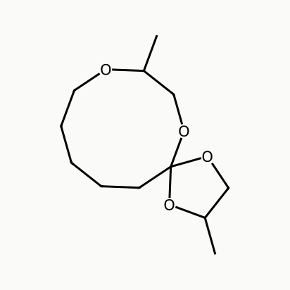 CC1COC2(CCCCCO1)OCC(C)O2